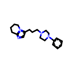 c1ccc(N2CCN(CCCc3cnc4n3CCCC4)CC2)cc1